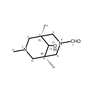 CN1C[C@@]2(C)CN(C=O)C[C@@](C)(C1)C2O